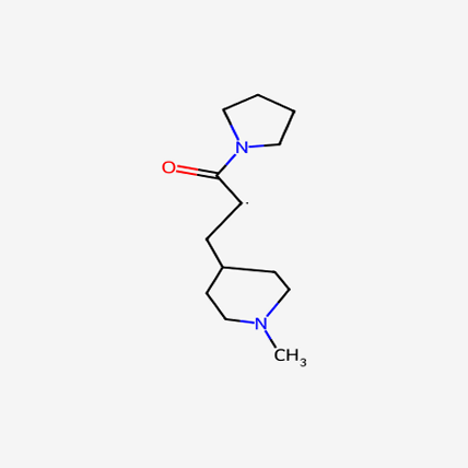 CN1CCC(C[CH]C(=O)N2CCCC2)CC1